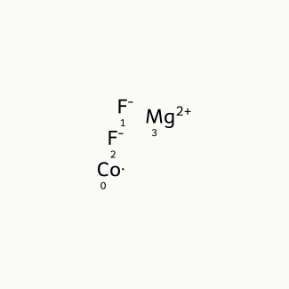 [Co].[F-].[F-].[Mg+2]